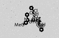 C=C[C@@H]1C[C@]1(NC(=O)[C@@H]1C[C@@H](Oc2cc(-c3ccccc3)nc3cc(OC)ccc23)CN1C(=O)CNC(=O)C(Cl)c1ccccc1)C(=O)NS(=O)(=O)c1ccccc1